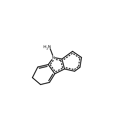 Nn1c2c(c3ccccc31)=CCCC=2